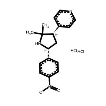 CC1(C)N[C@@H](c2ccc([N+](=O)[O-])cc2)C[C@H]1c1ccncc1.Cl.Cl